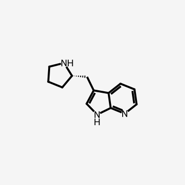 c1cnc2[nH]cc(C[C@@H]3CCCN3)c2c1